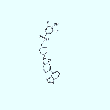 O=C(NCC1CCC(n2cc3ccc(-c4cccn5ncnc45)cc3n2)CC1)c1cc(F)c(O)c(F)c1